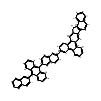 c1ccc2cc(-c3c4ccccc4c(-c4ccc5cc(-c6ccc7c(c6)c6ccccc6c6cc8c(cc76)oc6c7ccccc7ccc86)ccc5c4)c4ccccc34)ccc2c1